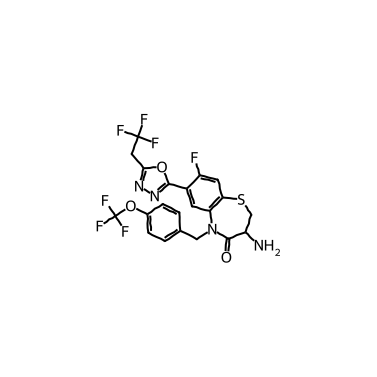 NC1CSc2cc(F)c(-c3nnc(CC(F)(F)F)o3)cc2N(Cc2ccc(OC(F)(F)F)cc2)C1=O